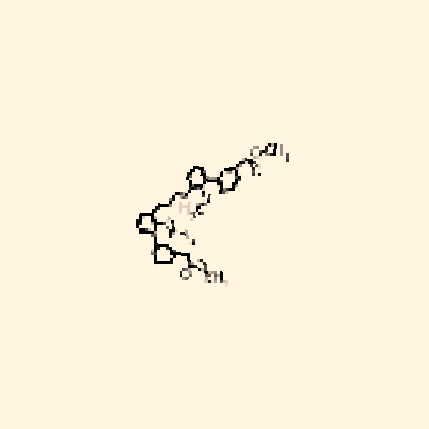 COC(=O)Cc1cccc(-c2cccc(CCCCc3cccc(-c4cccc(CC(=O)OC)c4)c3OC)c2OC)c1